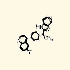 CC(c1nc2cnccc2[nH]1)[C@H]1CC[C@@H](c2ccnc3ccc(F)cc32)CC1